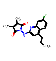 CC1=C(C)C(=O)N(Nc2cc(CCC(=O)O)c3ccc(Br)cc3n2)C1=O